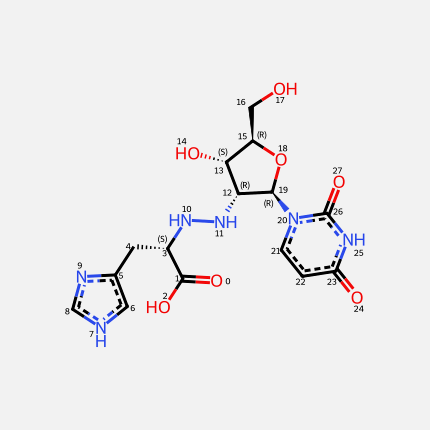 O=C(O)[C@H](Cc1c[nH]cn1)NN[C@@H]1[C@H](O)[C@@H](CO)O[C@H]1n1ccc(=O)[nH]c1=O